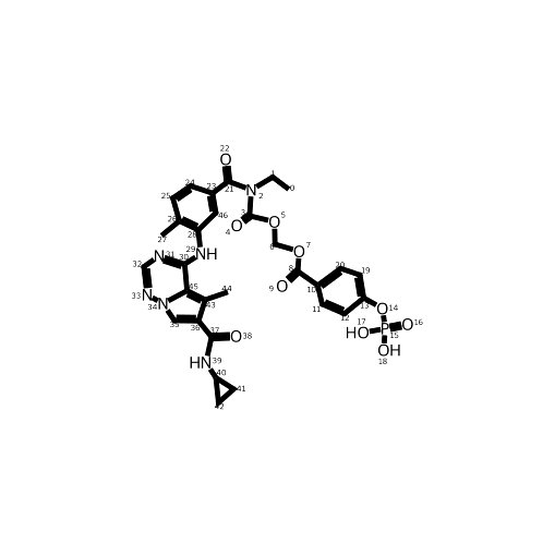 CCN(C(=O)OCOC(=O)c1ccc(OP(=O)(O)O)cc1)C(=O)c1ccc(C)c(Nc2ncnn3cc(C(=O)NC4CC4)c(C)c23)c1